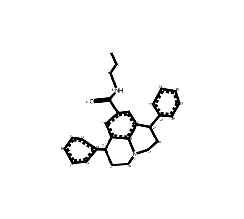 CCCNC(=O)c1cc2c3c(c1)C(c1ccccc1)CCN3CCC2c1ccccc1